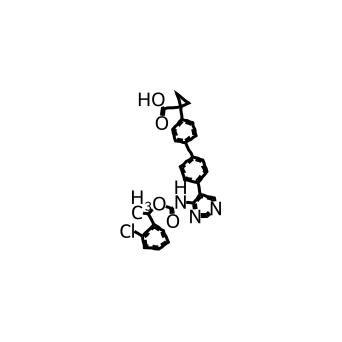 CC(OC(=O)Nc1ncncc1-c1ccc(-c2ccc(C3(C(=O)O)CC3)cc2)cc1)c1ccccc1Cl